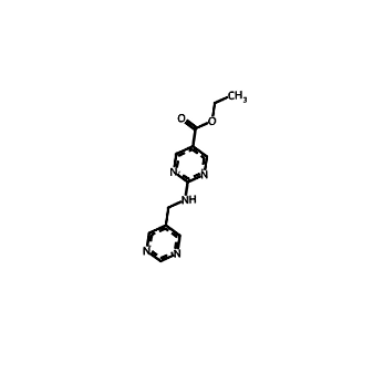 CCOC(=O)c1cnc(NCc2cncnc2)nc1